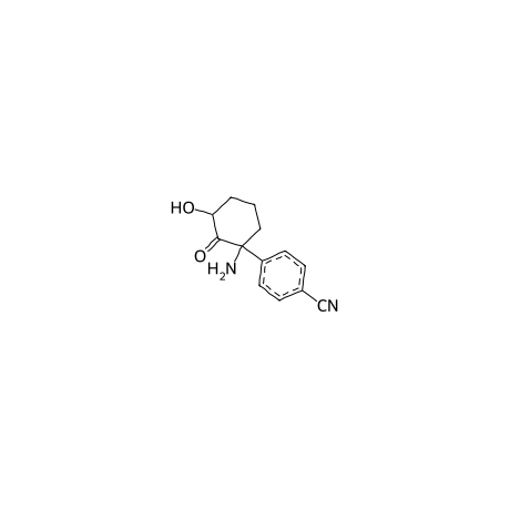 N#Cc1ccc(C2(N)CCCC(O)C2=O)cc1